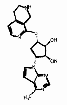 Cc1ncnc2c1ccn2[C@@H]1C[C@H](Oc2nccc3c2CNCC3)[C@@H](O)[C@H]1O